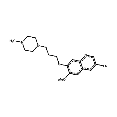 COc1cc2cc(C#N)cnc2cc1OCCCN1CCN(C)CC1